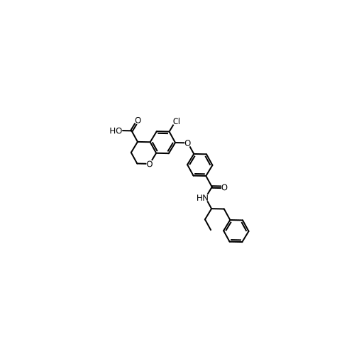 CCC(Cc1ccccc1)NC(=O)c1ccc(Oc2cc3c(cc2Cl)C(C(=O)O)CCO3)cc1